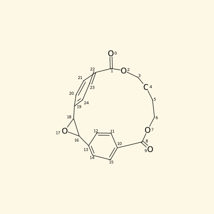 O=C1OCCCCOC(=O)c2ccc(cc2)C2OC2c2ccc1cc2